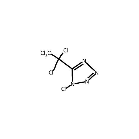 Cln1nnnc1C(Cl)(Cl)C(Cl)(Cl)Cl